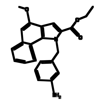 Bc1cccc(Cn2c(C(=O)OCC)cc3c(OC)cc4ccccc4c32)c1